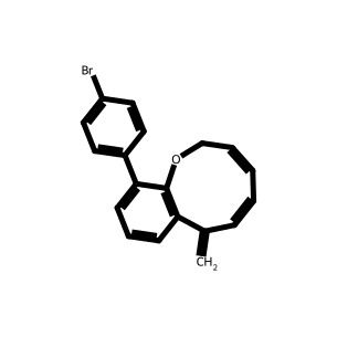 C=C1/C=C\C=C/COc2c1cccc2-c1ccc(Br)cc1